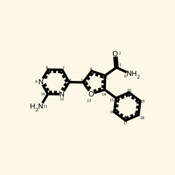 NC(=O)c1cc(-c2ccnc(N)n2)oc1-c1ccccc1